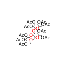 CC(=O)OCC1OC(C)C(OC2OC(C)C(OC(C)=O)C(OC(C)=O)C2OC(C)=O)C(OC2OC(COC(C)=O)C(OC(C)=O)C(OC(C)=O)C2OC(C)=O)C1OC(C)=O